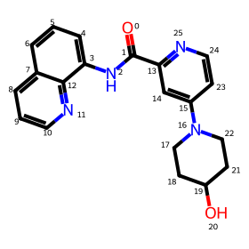 O=C(Nc1cccc2cccnc12)c1cc(N2CCC(O)CC2)ccn1